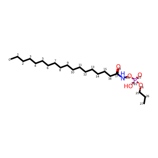 CCCCCCCCCCCCCCCCCC(=O)NOP(=O)(O)OCCC